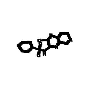 O=S(=O)(Nc1nc2cnccc2nc1Cl)c1ccccc1